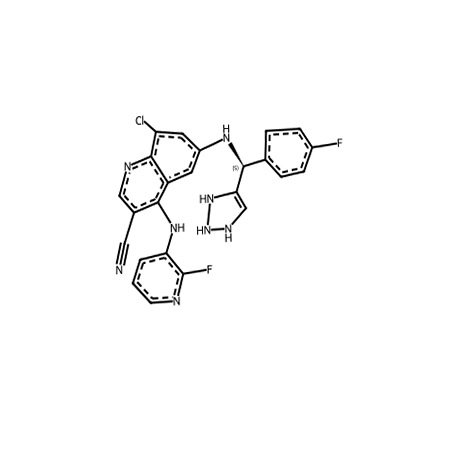 N#Cc1cnc2c(Cl)cc(N[C@H](C3=CNNN3)c3ccc(F)cc3)cc2c1Nc1cccnc1F